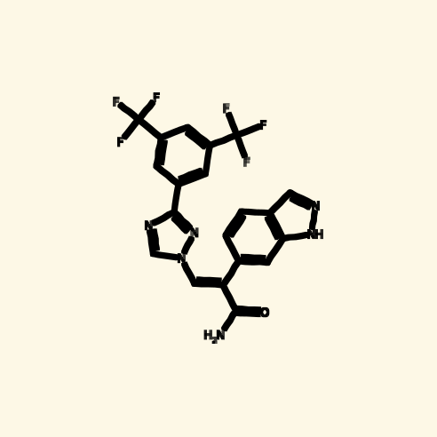 NC(=O)/C(=C/n1cnc(-c2cc(C(F)(F)F)cc(C(F)(F)F)c2)n1)c1ccc2cn[nH]c2c1